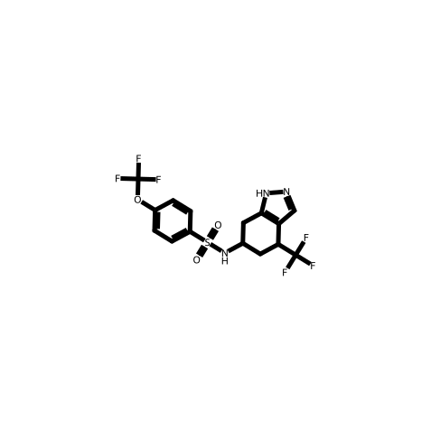 O=S(=O)(NC1Cc2[nH]ncc2C(C(F)(F)F)C1)c1ccc(OC(F)(F)F)cc1